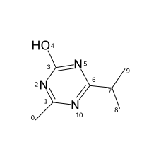 Cc1nc(O)nc(C(C)C)n1